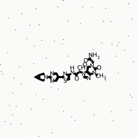 C[C@@H](C(=O)Nc1csc(-c2cnc(N3CC4CC4C3)nc2)n1)n1cnc2c1c(=O)n(CC(N)=O)c(=O)n2C